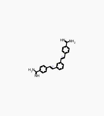 N=C(N)c1ccc(/C=C/c2cccc(/C=C/c3ccc(C(=N)N)cc3)c2)cc1